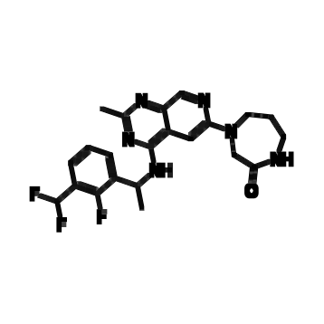 Cc1nc(NC(C)c2cccc(C(F)F)c2F)c2cc(N3CCCNC(=O)C3)ncc2n1